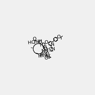 CC(C)Oc1ccc(-c2cc(O[C@@H]3C[C@H]4C(=O)N[C@]5(C(=O)NS(=O)(=O)C6(C)CC6)C[C@H]5C=CCC[C@@H](C)C[C@@H](C)[C@H](NC(=O)O)C(=O)N4C3)cc(-c3nccs3)n2)cc1